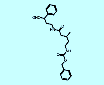 CC(CCNC(=O)OCc1ccccc1)CC(=O)NCCC(C=O)c1ccccc1